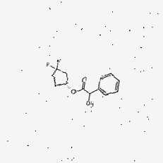 O=C(O[C@@H]1CCC(F)(F)C1)C(O)c1ccccc1